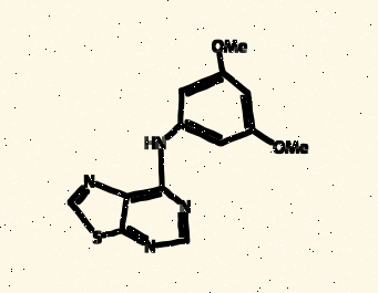 COc1cc(Nc2ncnc3scnc23)cc(OC)c1